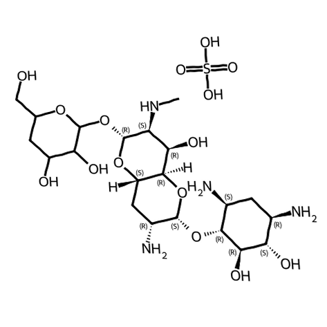 CN[C@@H]1[C@@H](OC2OC(CO)CC(O)C2O)O[C@H]2C[C@@H](N)[C@@H](O[C@H]3[C@H](O)[C@@H](O)[C@H](N)C[C@@H]3N)O[C@@H]2[C@@H]1O.O=S(=O)(O)O